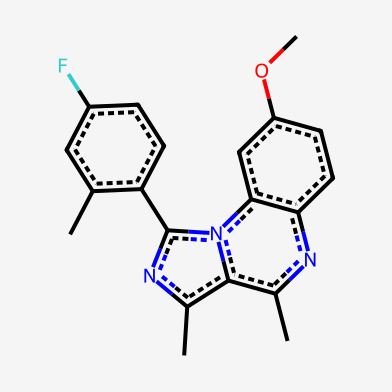 COc1ccc2nc(C)c3c(C)nc(-c4ccc(F)cc4C)n3c2c1